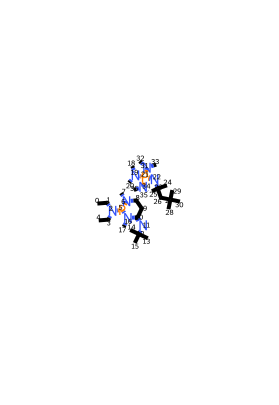 CCN(CC)P1N(C)CCC(=NC(C)(C)C)N1C.CN(C)P(=NC(C)(C)CC(C)(C)C)(N(C)C)N(C)C